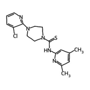 Cc1cc(C)nc(NC(=S)N2CCN(c3ncccc3Cl)CC2)c1